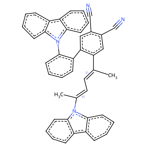 C/C(=C\C=C(/C)n1c2ccccc2c2ccccc21)c1cc(C#N)c(C#N)cc1-c1ccccc1-n1c2ccccc2c2ccccc21